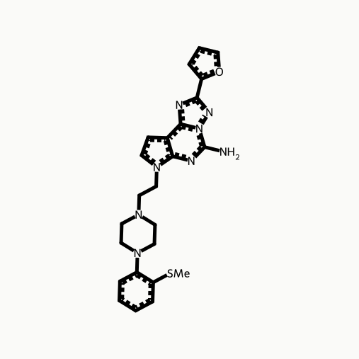 CSc1ccccc1N1CCN(CCn2ccc3c2nc(N)n2nc(-c4ccco4)nc32)CC1